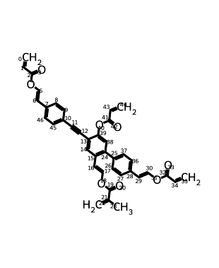 C=CC(=O)O/C=C/c1ccc(C#Cc2cc(/C=C/OC(=O)C(=C)C)c(-c3ccc(/C=C/OC(=O)C=C)cc3)cc2OC(=O)C=C)cc1